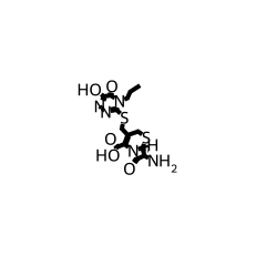 CCCn1c(SCC2=C(C(=O)O)N3C(=O)C(N)[C@H]3SC2)nnc(O)c1=O